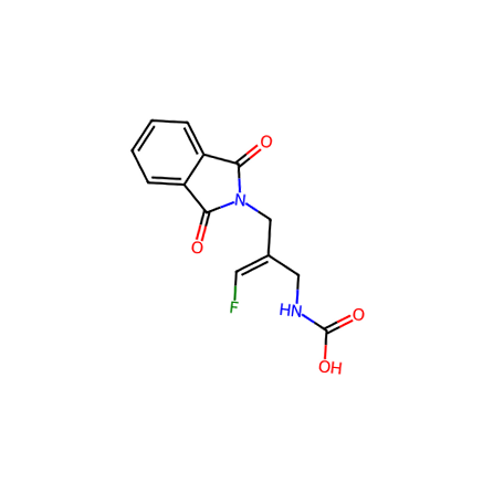 O=C(O)NCC(=CF)CN1C(=O)c2ccccc2C1=O